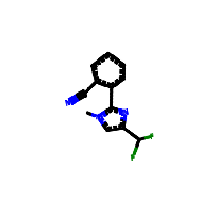 Cn1cc(C(F)F)nc1-c1ccccc1C#N